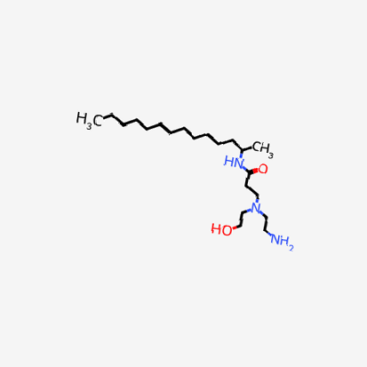 CCCCCCCCCCCCC(C)NC(=O)CCN(CCN)CCO